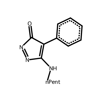 CCCCCNC1=C(c2ccccc2)C(=O)N=N1